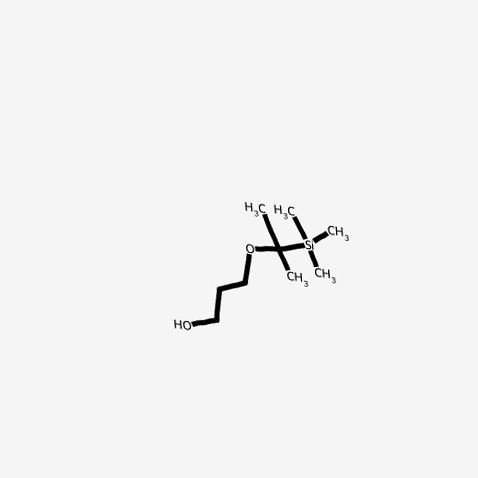 CC(C)(OCCCO)[Si](C)(C)C